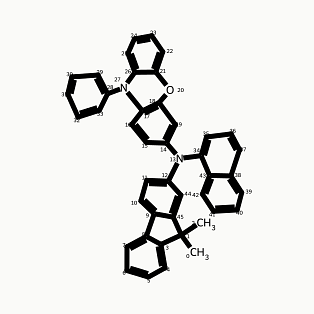 CC1(C)c2ccccc2-c2ccc(N(c3ccc4c(c3)Oc3ccccc3N4c3ccccc3)c3cccc4ccccc34)cc21